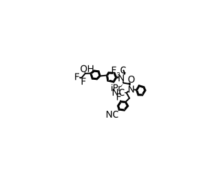 CC(C)[C@@H](C(=O)N(c1ccccc1)[C@H](C#N)Cc1ccc(C#N)cc1F)N(CC(F)(F)F)c1ccc(-c2ccc([C@@H](O)C(F)F)cc2)cc1